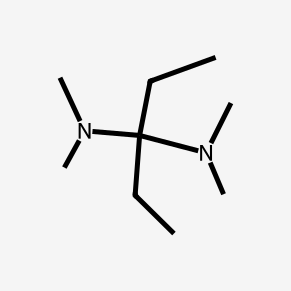 CCC(CC)(N(C)C)N(C)C